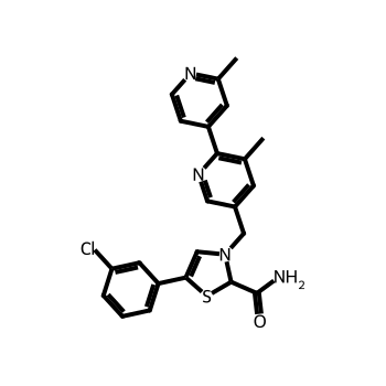 Cc1cc(-c2ncc(CN3C=C(c4cccc(Cl)c4)SC3C(N)=O)cc2C)ccn1